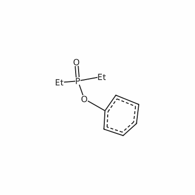 CCP(=O)(CC)Oc1ccccc1